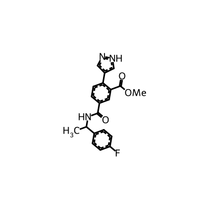 COC(=O)c1cc(C(=O)NC(C)c2ccc(F)cc2)ccc1-c1cn[nH]c1